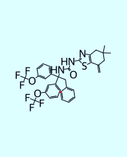 C=C1CC(C)(C)Cc2nc(NC(=O)NC(Cc3ccccc3)(c3cccc(OC(F)(F)F)c3)c3cccc(OC(F)(F)F)c3)sc21